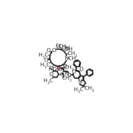 CC[C@H]1OC(=O)[C@H](C)C(=O)[C@H](C)[C@@H](O[C@@H]2O[C@H](C)C[C@H](N(C)C)[C@H]2OC(=O)CCOC(=O)Cc2c(-c3cc4ccccc4o3)c(-c3ccccc3)c3n2CC(C)(C)C3)[C@](C)(O)C[C@@H](C)CN(C)[C@H](C)[C@@H](O)[C@]1(C)O